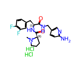 CN1CCC[C@@H]1C(=O)N[C@@H](Cc1ccc(F)c(F)c1)C(=O)NCc1ccc(N)nc1.Cl.Cl